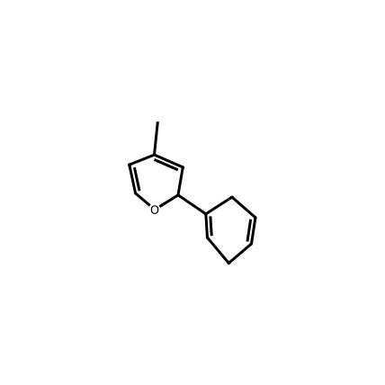 CC1=CC(C2=CCC=CC2)OC=C1